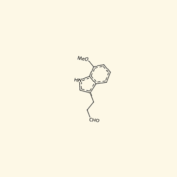 COc1cccc2c(CCC=O)c[nH]c12